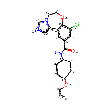 O=C(NC1CCC(OCC(F)(F)F)CC1)c1cc(Cl)c2c(c1)-c1cncn1CCO2